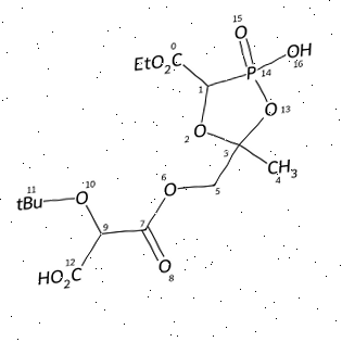 CCOC(=O)C1OC(C)(COC(=O)C(OC(C)(C)C)C(=O)O)OP1(=O)O